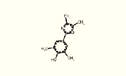 Cc1cc(-c2nc(C)c(C)o2)cc(C)c1O